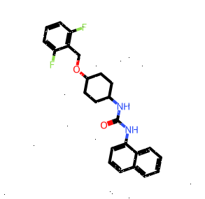 O=C(Nc1cccc2ccccc12)NC1CCC(OCc2c(F)cccc2F)CC1